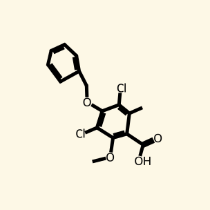 COc1c(Cl)c(OCc2ccccc2)c(Cl)c(C)c1C(=O)O